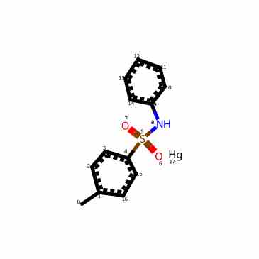 Cc1ccc(S(=O)(=O)Nc2ccccc2)cc1.[Hg]